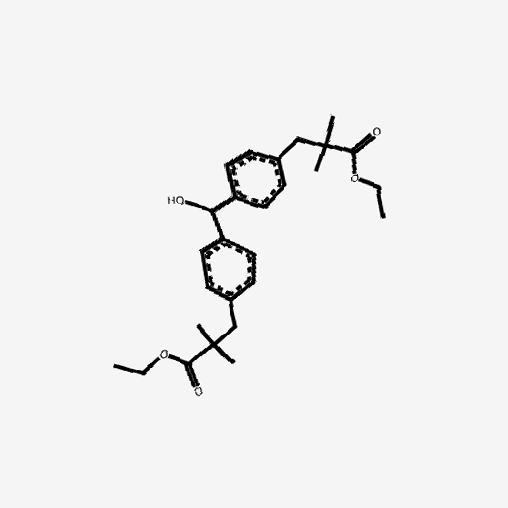 CCOC(=O)C(C)(C)Cc1ccc(C(O)c2ccc(CC(C)(C)C(=O)OCC)cc2)cc1